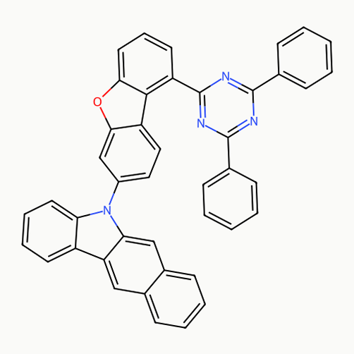 c1ccc(-c2nc(-c3ccccc3)nc(-c3cccc4oc5cc(-n6c7ccccc7c7cc8ccccc8cc76)ccc5c34)n2)cc1